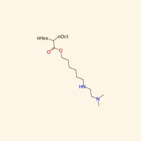 CCCCCCCCC(CCCCCC)C(=O)OCCCCCCNCCN(C)C